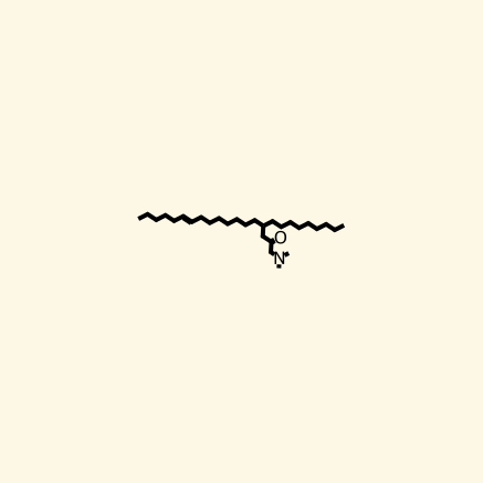 CCCCC/C=C/CCCCCCCC(CCCCCCCCC)CC(=O)CN(C)C